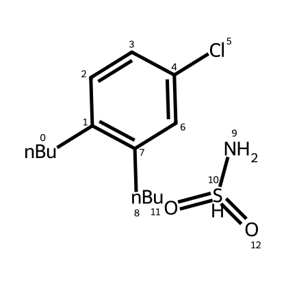 CCCCc1ccc(Cl)cc1CCCC.N[SH](=O)=O